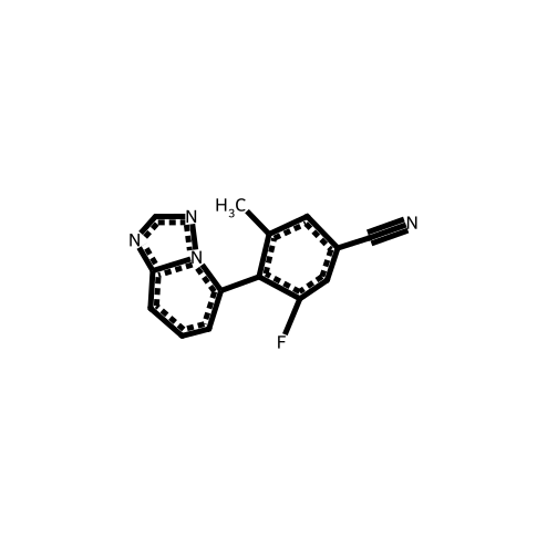 Cc1cc(C#N)cc(F)c1-c1cccc2ncnn12